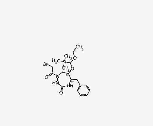 CCOC(O[C@@H]1CN(C(=O)CBr)NC(=O)N[C@@H]1Cc1ccccc1)[Si](C)(C)C